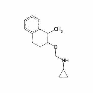 CC1c2ccccc2CCC1OCNC1CC1